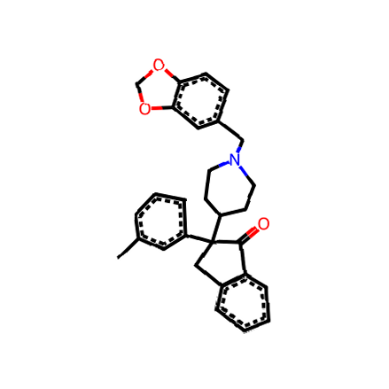 Cc1cccc(C2(C3CCN(Cc4ccc5c(c4)OCO5)CC3)Cc3ccccc3C2=O)c1